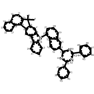 CC1(C)c2cc3c(cc2-c2c1ccc1ccccc21)c1ccccc1n3-c1cccc2cc(-c3nc(-c4ccccc4)nc(-c4ccccc4)n3)ccc12